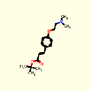 CN(C)CCOc1ccc(/C=C/C(=O)OC(C)(C)C)cc1